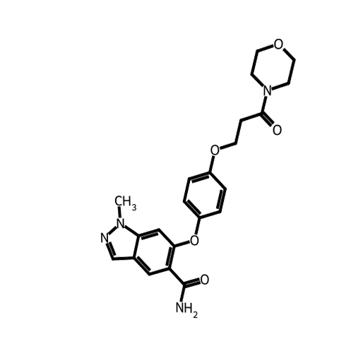 Cn1ncc2cc(C(N)=O)c(Oc3ccc(OCCC(=O)N4CCOCC4)cc3)cc21